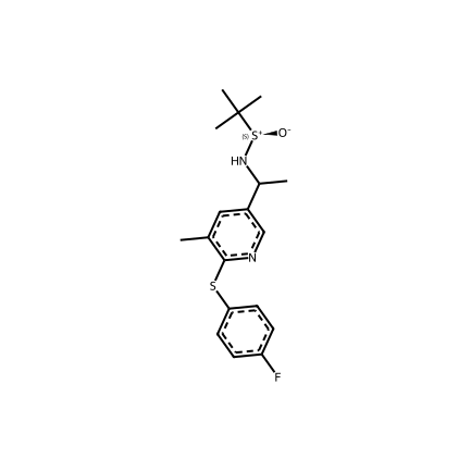 Cc1cc(C(C)N[S@+]([O-])C(C)(C)C)cnc1Sc1ccc(F)cc1